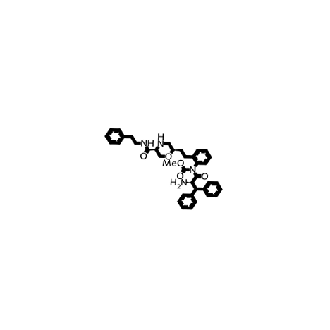 COC(=O)N(C(=O)[C@@H](N)C(c1ccccc1)c1ccccc1)c1ccccc1CC[C@@H]1CN[C@H](C(=O)NCCc2ccccc2)CO1